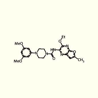 CCOc1nc2oc(C)cc2nc1NC(=O)N1CCN(c2cc(OC)cc(OC)c2)CC1